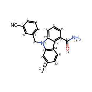 N#Cc1cccc(Cn2c3cc(C(F)(F)F)c[c]c3c3c(C(N)=O)cccc32)c1